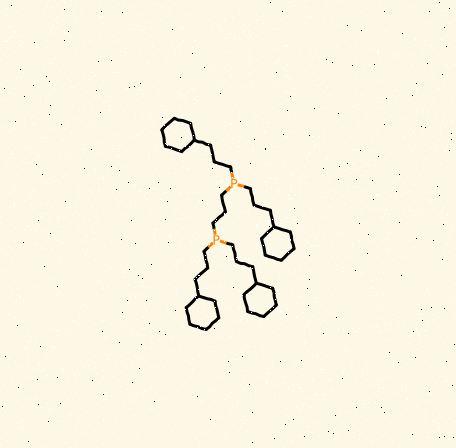 C1CCC(CCCP(CCCC2CCCCC2)CCCP(CCCC2CCCCC2)CCCC2CCCCC2)CC1